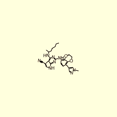 CCCCCC(C)Nc1nc(Nc2ccc(-c3cnn(C)c3)c3c2OCCO3)nc2[nH]cc(C#N)c12